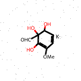 COC1=C(O)C(O)(C=O)C(O)C=C1.[K]